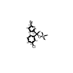 CC(O[Si](C)(C)C)(c1cccc(Cl)c1)c1ccc(Br)s1